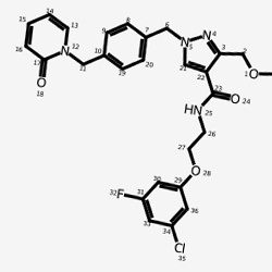 COCc1nn(Cc2ccc(Cn3ccccc3=O)cc2)cc1C(=O)NCCOc1cc(F)cc(Cl)c1